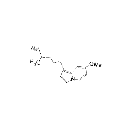 CNC(C)CCCc1ccn2ccc(OC)cc12